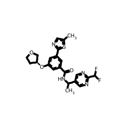 Cc1cnc(-c2cc(O[C@H]3CCOC3)cc(C(=O)NC(C)c3cnc(C(F)F)nc3)c2)s1